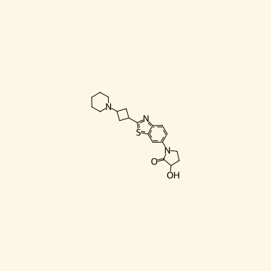 O=C1C(O)CCN1c1ccc2nc(C3CC(N4CCCCC4)C3)sc2c1